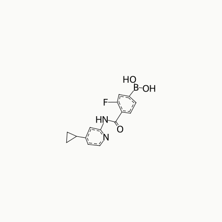 O=C(Nc1cc(C2CC2)ccn1)c1ccc(B(O)O)cc1F